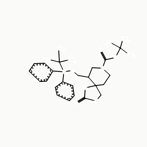 CC(C)(C)OC(=O)N1CCC2(CNC(=O)O2)C(CO[Si](c2ccccc2)(c2ccccc2)C(C)(C)C)C1